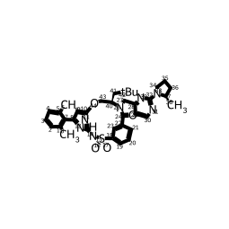 Cc1cccc(C)c1-c1cc2nc(n1)NS(=O)(=O)c1cccc(c1)C(=O)N(Cc1ccnc(N3CCC[C@H]3C)n1)[C@H](CC(C)(C)C)CO2